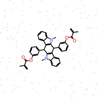 C=C(C)C(=O)Oc1cccc(C2c3c(n(C)c4ccccc34)C(c3cccc(OC(=O)C(=C)C)c3)c3c2n(C)c2ccccc32)c1